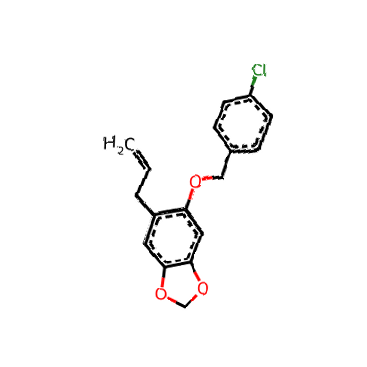 C=CCc1cc2c(cc1OCc1ccc(Cl)cc1)OCO2